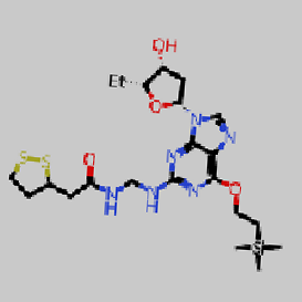 CC[C@H]1O[C@@H](n2cnc3c(OCC[Si](C)(C)C)nc(NCNC(=O)CC4CCSS4)nc32)C[C@H]1O